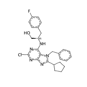 OC[C@@H](Cc1ccc(F)cc1)Nc1nc(Cl)nc2nc(C3CCCC3)n(Cc3ccccc3)c12